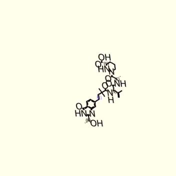 C=C(C)[C@H](NC(=O)C(C)(C)/C=C/c1ccc2c(=O)[nH]c([C@@H](C)O)nc2c1)C(=O)N[C@@H](C)C(=O)N1CCC[C@@H](C(=O)O)N1